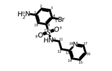 Nc1ccc(Br)c(S(=O)(=O)NCCc2ccccn2)c1